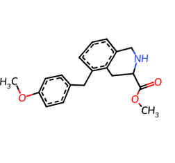 COC(=O)C1Cc2c(cccc2Cc2ccc(OC)cc2)CN1